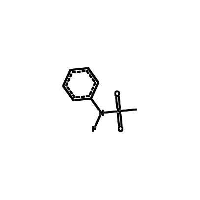 CS(=O)(=O)N(F)c1ccccc1